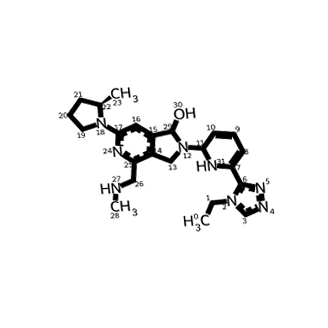 CCn1cnnc1C1=CC=CC(N2Cc3c(cc(N4CCC[C@H]4C)nc3CNC)C2O)N1